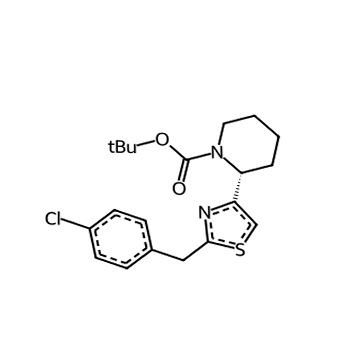 CC(C)(C)OC(=O)N1CCCC[C@@H]1c1csc(Cc2ccc(Cl)cc2)n1